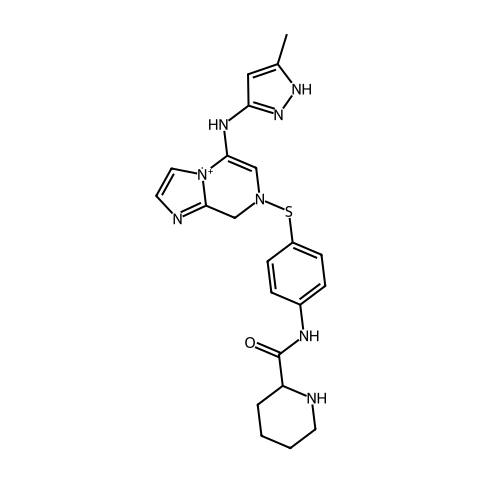 Cc1cc(NC2=CN(Sc3ccc(NC(=O)C4CCCCN4)cc3)CC3=NC=C[N+]23)n[nH]1